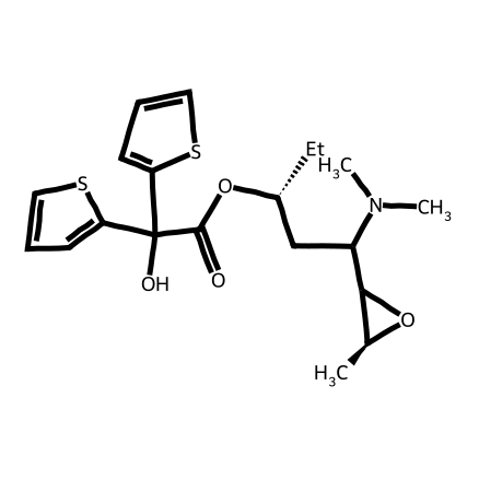 CC[C@H](CC(C1O[C@H]1C)N(C)C)OC(=O)C(O)(c1cccs1)c1cccs1